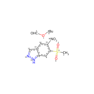 CC(C)(C)OC=O.CS(=O)(=O)c1cc2[nH]ncc2cc1[N+](=O)[O-]